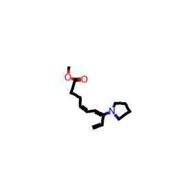 C=C/C(=C\C=C/CCC(=O)OC)N1CCCC1